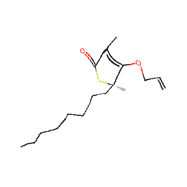 C=CCOC1=C(C)C(=O)S[C@]1(C)CCCCCCCC